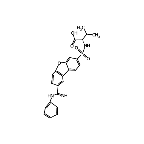 CC(C)[C@H](NS(=O)(=O)c1ccc2c(c1)oc1ccc(C(=N)Nc3ccccc3)cc12)C(=O)O